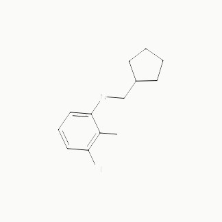 Clc1cccc(NCC2CCCC2)c1Cl